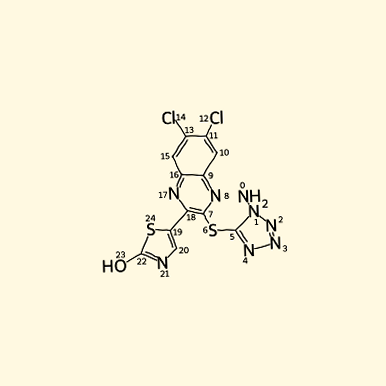 Nn1nnnc1Sc1nc2cc(Cl)c(Cl)cc2nc1-c1cnc(O)s1